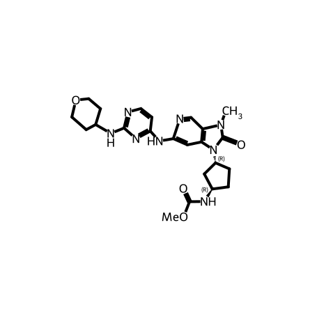 COC(=O)N[C@@H]1CC[C@@H](n2c(=O)n(C)c3cnc(Nc4ccnc(NC5CCOCC5)n4)cc32)C1